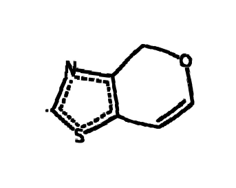 [c]1nc2c(s1)C=COC2